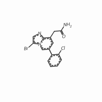 NC(=O)Cc1cc(-c2ccccc2Cl)cn2c(Br)cnc12